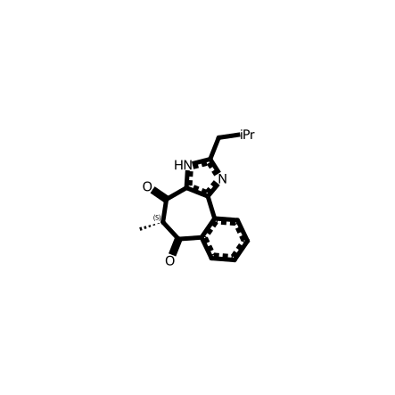 CC(C)Cc1nc2c([nH]1)C(=O)[C@@H](C)C(=O)c1ccccc1-2